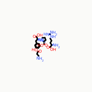 N=C(N)NCCCC(N)C(=O)O.NC(Cc1ccccc1)C(=O)O.NCCC(=O)O.O=C(O)[C@@H]1CCCN1